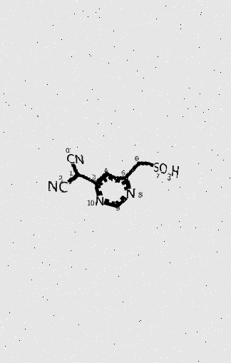 N#CC(C#N)c1cc(CS(=O)(=O)O)ncn1